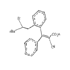 CCCCC(CC)Cc1ccccc1C(=C(C#N)C(=O)O)c1ccccc1